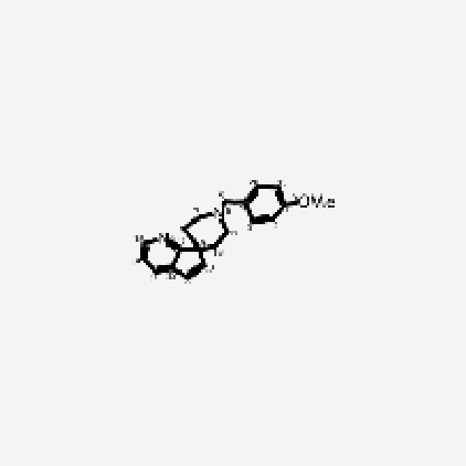 COc1ccc(CN2CCC3(C=Cc4cccnc43)CC2)cc1